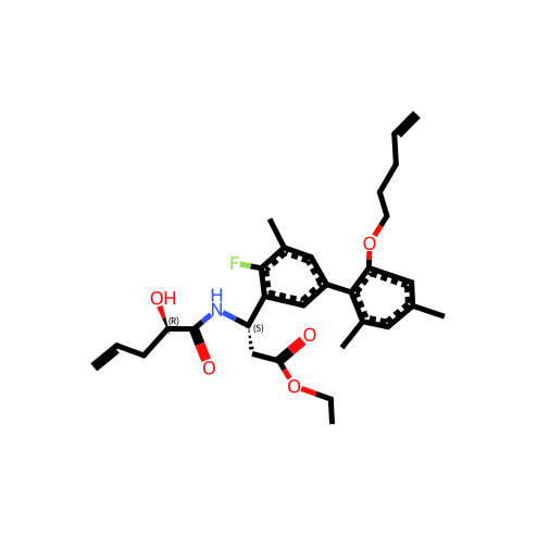 C=CCCCOc1cc(C)cc(C)c1-c1cc(C)c(F)c([C@H](CC(=O)OCC)NC(=O)[C@H](O)CC=C)c1